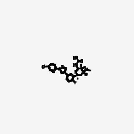 CN=S1(=O)C[C@@](C)(c2cc(-c3cn(-c4ccc(Cl)cn4)nn3)ccc2F)N=C(NC(=O)O)C1(C)C